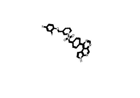 O=S(=O)(CC1CCC(c2ncnc3cnc4[nH]ccc4c23)CC1)N1CCCC(COc2ccc(F)cc2F)C1